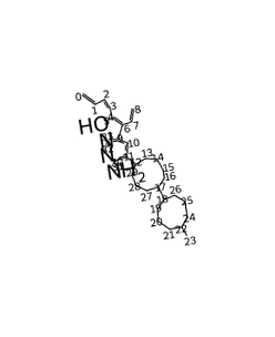 C=C/C=C\C(O)=C(/C=C)c1cc(C2CCCCC(C3CCCC(C)CCC3)CCC2)c(N)nn1